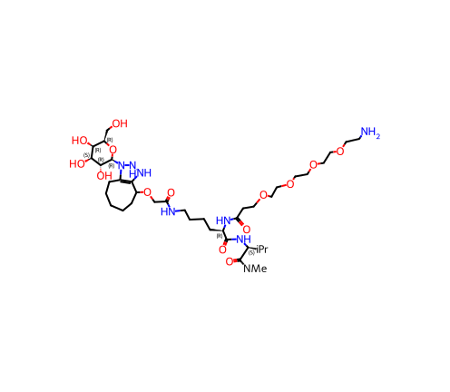 CNC(=O)[C@@H](NC(=O)[C@@H](CCCCNC(=O)COC1CCCCCC2=C1NNN2[C@@H]1O[C@H](CO)[C@H](O)[C@H](O)[C@H]1O)NC(=O)CCOCCOCCOCCOCCN)C(C)C